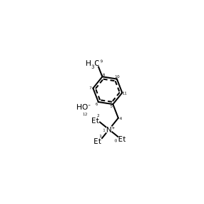 CC[N+](CC)(CC)Cc1ccc(C)cc1.[OH-]